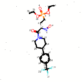 CCOP(=O)(CC[C@H](N=O)C(=O)N1CCC(c2ccc(C(F)(F)F)cc2)CC1)OCC